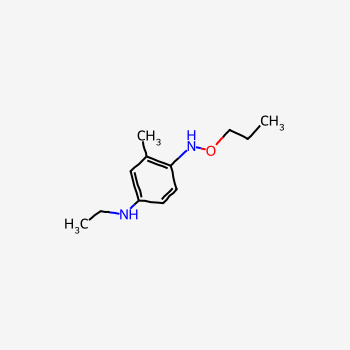 CCCONc1ccc(NCC)cc1C